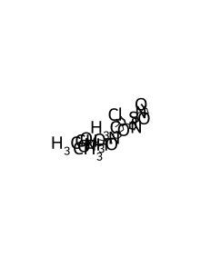 Cc1cc(Cl)cc(-c2ccnc3cc(CN4C(=O)CCC4=O)sc23)c1OC1CCN(C(=O)CCOCCNC(=O)OC(C)(C)C)CC1